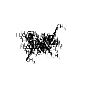 CCCCCCOC1CC(C)(C)N(c2nc(NCCN(CCNc3nc(NC(CCC)C4CC(C)(C)NC(C)(C)C4)nc(N4C(C)(C)CC(OCCCCCC)CC4(C)C)n3)c3nc(NC(CCC)C4CC(C)(C)NC(C)(C)C4)nc(N4C(C)(C)CC(OCCCCCC)CC4(C)C)n3)nc(NC(CCC)C3CC(C)(C)NC(C)(C)C3)n2)C(C)(C)C1